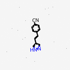 N#Cc1ccc(C=Cc2cn[nH]c2)cc1